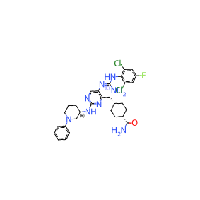 N/C(=N\c1cnc(N[C@@H]2CCCN(c3ccccc3)C2)nc1C[C@H]1CC[C@@H](C(N)=O)CC1)Nc1c(Cl)cc(F)cc1Cl